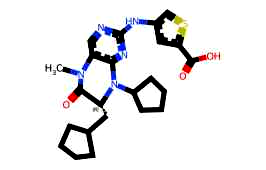 CN1C(=O)[C@@H](CC2CCCC2)N(C2CCCC2)c2nc(Nc3csc(C(=O)O)c3)ncc21